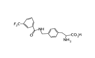 NC(Cc1ccc(CNC(=O)c2cccc(C(F)(F)F)c2)cc1)C(=O)O